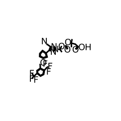 CC(OC(=O)OC(C)(C)CC(=O)O)n1nc(C#N)c(-c2cccc(OCc3cc(C(F)(F)F)ccc3C(F)(F)F)c2)n1